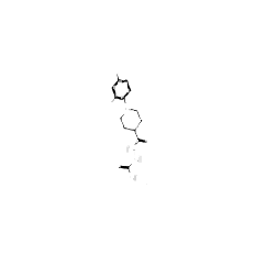 NC(=S)NNC(=O)C1CCN(c2ccc(Cl)cc2F)CC1